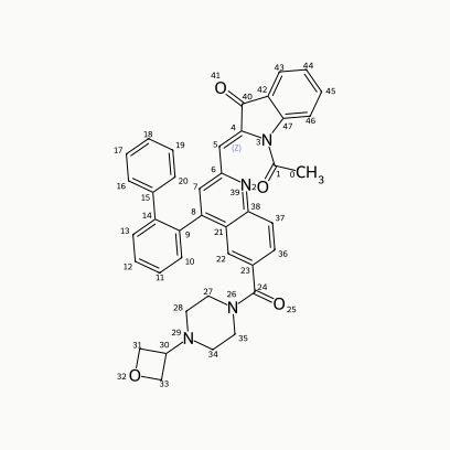 CC(=O)N1/C(=C\c2cc(-c3ccccc3-c3ccccc3)c3cc(C(=O)N4CCN(C5COC5)CC4)ccc3n2)C(=O)c2ccccc21